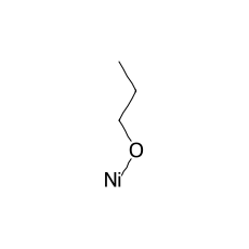 CCC[O][Ni]